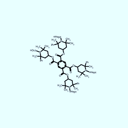 CCCCCCCCN1C(C)(C)CC(OC(=O)c2cc(C(=O)OC3CC(C)(C)N(CCCCCCC)C(C)(C(C)C)C3)c(C(=O)OC3CC(C)(C)N(CCCCCCC)C(C)(C(C)C)C3)cc2C(=O)OC2CC(C)(C)N(CCCCCCC)C(C)(C(C)C)C2)CC1(C)C(C)C